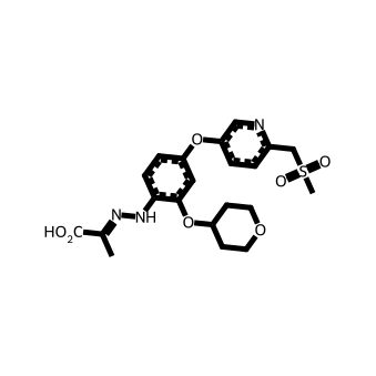 CC(=NNc1ccc(Oc2ccc(CS(C)(=O)=O)nc2)cc1OC1CCOCC1)C(=O)O